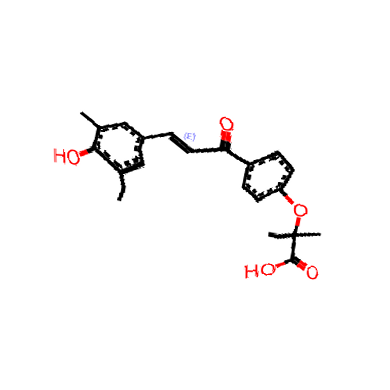 Cc1cc(/C=C/C(=O)c2ccc(OC(C)(C)C(=O)O)cc2)cc(C)c1O